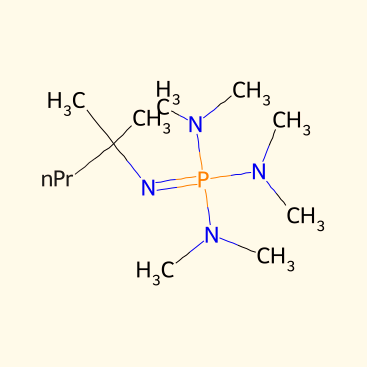 CCCC(C)(C)N=P(N(C)C)(N(C)C)N(C)C